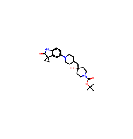 CC(C)(C)OC(=O)N1CCC(O)(CC2CCN(c3ccc4c(c3)C3(CC3)C(=O)N4)CC2)CC1